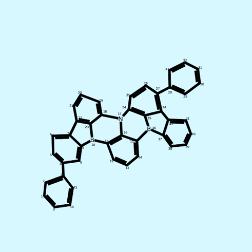 c1ccc(-c2ccc3c(c2)B2c4cccc5c4N(c4cccc-3c42)c2ccc(-c3ccccc3)c3c2B5c2ccccc2-3)cc1